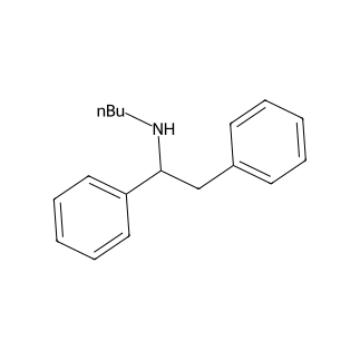 CCCCNC(Cc1ccccc1)c1ccccc1